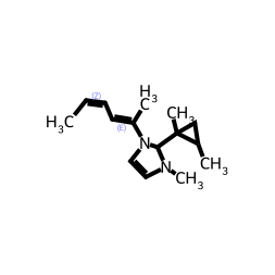 C/C=C\C=C(/C)N1C=CN(C)C1C1(C)CC1C